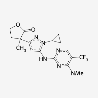 CNc1nc(Nc2cc(C3(C)CCOC3=O)nn2C2CC2)ncc1C(F)(F)F